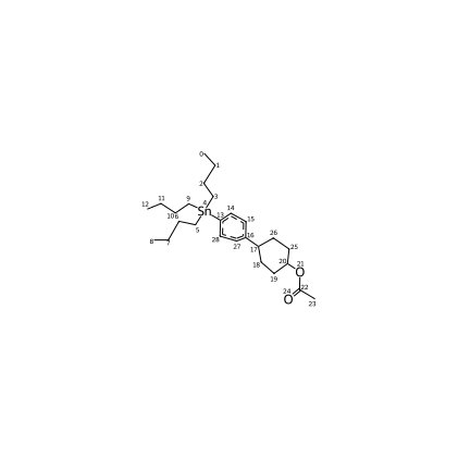 CCC[CH2][Sn]([CH2]CCC)([CH2]CCC)[c]1ccc(C2CCC(OC(C)=O)CC2)cc1